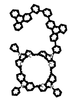 c1ccc(-n2c3ccc4cc3c3cc(ccc32)c2ccc3c(c2)c2cc(ccc2n3-c2ccccc2)c2ccc3c(c2)c2cc(ccc2n3-c2cccc(-c3ccc5c6ccc(-c7cccc(-c8cccc(-c9ccc%10c%11ccccc%11c%11ccccc%11c%10c9)c8)c7)cc6c6ccccc6c5c3)c2)c2ccc3c(c2)c2cc4ccc2n3-c2ccccc2)cc1